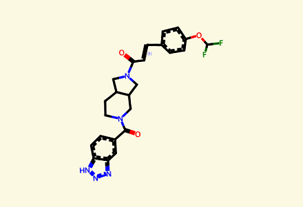 O=C(/C=C/c1ccc(OC(F)F)cc1)N1CC2CCN(C(=O)c3ccc4[nH]nnc4c3)CC2C1